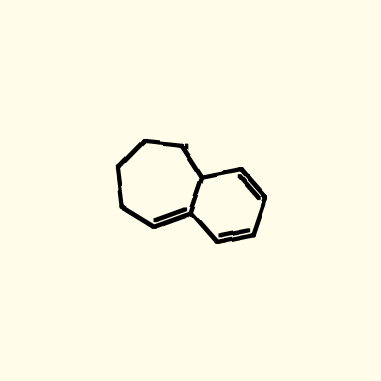 [C]1CCCC=C2C=CC=CC12